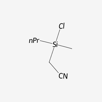 CCC[Si](C)(Cl)CC#N